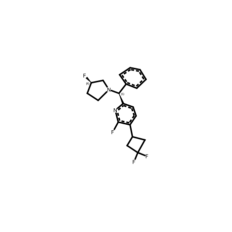 Fc1nc([C@H](c2ccccc2)N2CC[C@@H](F)C2)ccc1C1CC(F)(F)C1